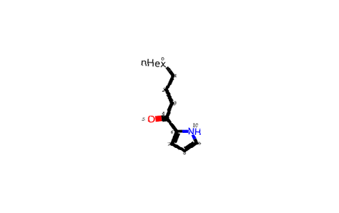 CCCCCCCCCC(=O)c1ccc[nH]1